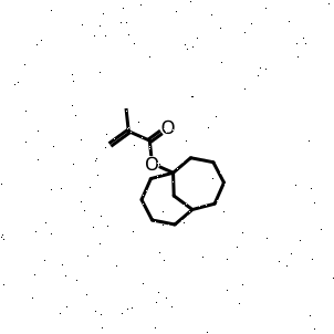 C=C(C)C(=O)OC12CCCCC(CCCC1)C2